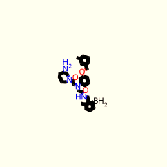 Bc1cccc(C)c1CNC(=O)CN(CC(=O)N1CC=CCC(N)C1)c1cccc(OCc2cccc(C)c2)c1